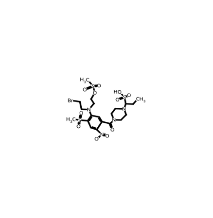 CCC(N1CCN(C(=O)c2cc(N(CCBr)CCOS(C)(=O)=O)c(S(C)(=O)=O)cc2[N+](=O)[O-])CC1)S(=O)(=O)O